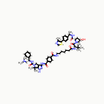 Cc1ncsc1-c1ccc([C@H](C)NC(=O)[C@@H]2C[C@@H](O)CN2C(=O)[C@@H](NC(=O)CCCCCCNC(=O)c2ccc(C(=O)Nc3n[nH]c4c3CN(C(=O)N[C@H](CN(C)C)c3ccccc3)C4(C)C)cc2)C(C)(C)C)cc1